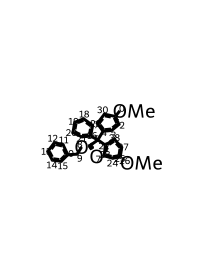 COc1ccc(C(C(=O)OCc2ccccc2)(c2ccccc2)c2ccc(OC)cc2)cc1